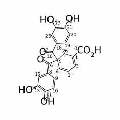 O=C(O)C1=CC=CC(C(=O)c2ccc(O)c(O)c2)(C(=O)c2ccc(O)c(O)c2)C1